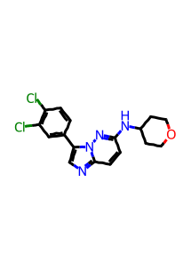 Clc1ccc(-c2cnc3ccc(NC4CCOCC4)nn23)cc1Cl